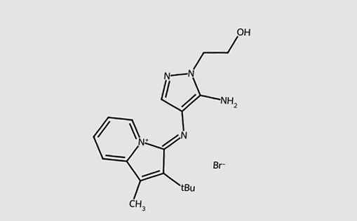 CC1=C(C(C)(C)C)/C(=N/c2cnn(CCO)c2N)[n+]2ccccc21.[Br-]